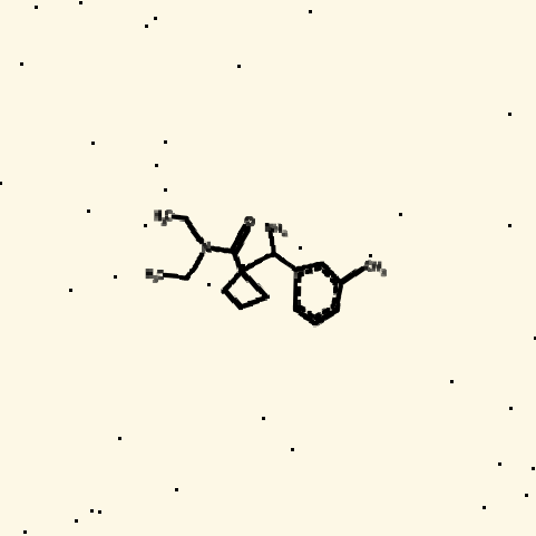 CCN(CC)C(=O)C1(C(N)c2cccc(C)c2)CCC1